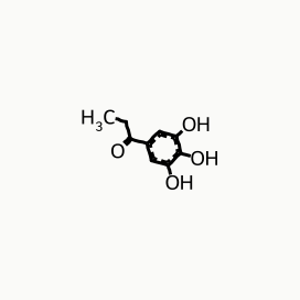 CCC(=O)c1cc(O)c(O)c(O)c1